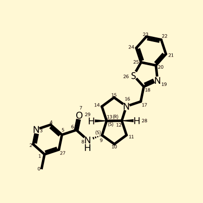 Cc1cncc(C(=O)N[C@H]2CC[C@@H]3[C@H]2CCN3Cc2nc3ccccc3s2)c1